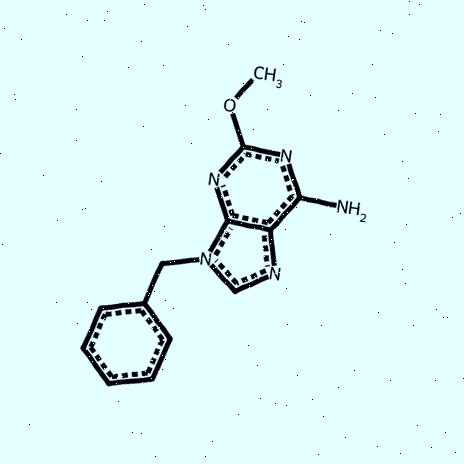 COc1nc(N)c2ncn(Cc3ccccc3)c2n1